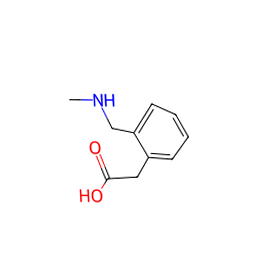 CNCc1ccccc1CC(=O)O